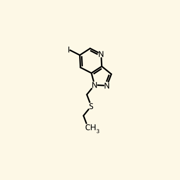 CCSCn1ncc2ncc(I)cc21